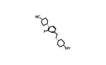 CCC[C@H]1CC[C@H](CCc2ccc([C@H]3CC[C@H](C#N)CC3)c(F)c2)CC1